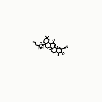 CCCc1nnc(C23CCC4C(C(=O)C=C5C6(C)C=C(C#N)C(=O)C(C)C6CCC54C)C2CC(C)(C)CC3)o1